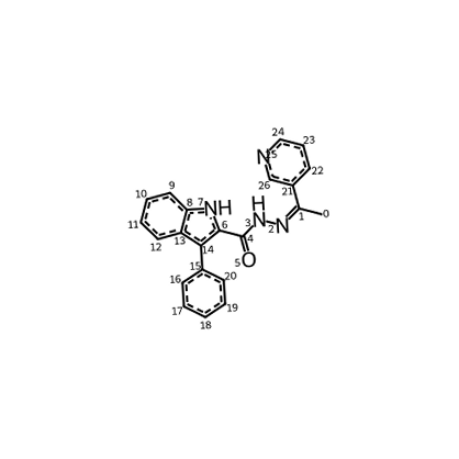 CC(=NNC(=O)c1[nH]c2ccccc2c1-c1ccccc1)c1cccnc1